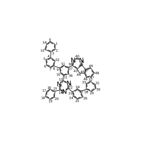 c1ccc(-c2cccc(-c3cc(-c4nc(-c5ccccc5)nc(-c5cccc(-c6ccccc6)c5)n4)cc(-c4ncnc5c4Cc4ccccc4-5)c3)c2)cc1